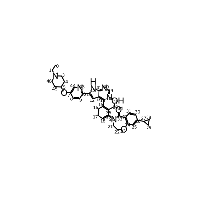 CCN1CCC(Oc2ccc(-c3cc4c(-c5cccc(N6CCOc7cc(C8CC8)ccc7C6=O)c5CO)ncnc4[nH]3)nc2)CC1